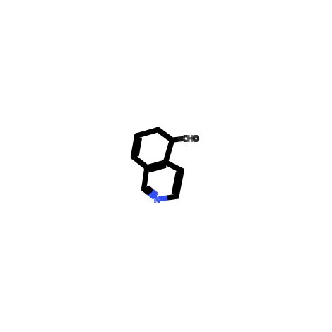 O=CC1CC=Cc2cnccc21